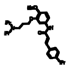 COc1ccc(NC(=O)C=Cc2ccc(C(C)C)cc2)cc1OCCCN(C(C)C)C(C)C